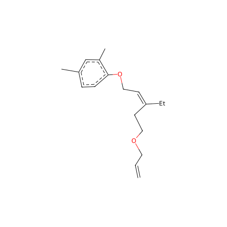 C=CCOCCC(=CCOc1ccc(C)cc1C)CC